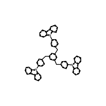 c1ccc2c(c1)c1ccccc1n2-c1ccc(Cc2cc(Cc3ccc(-n4c5ccccc5c5ccccc54)cc3)cc(Cc3ccc(-n4c5ccccc5c5ccccc54)cc3)c2)cc1